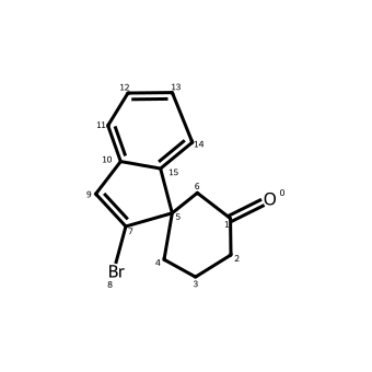 O=C1CCCC2(C1)C(Br)=Cc1ccccc12